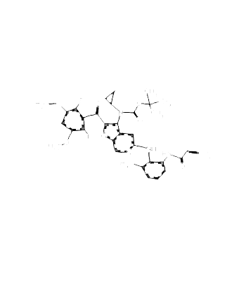 C=CC(=O)Nc1cccc(C)c1Nc1cc2c(N(C(=O)OC(C)(C)C)C3CC3)c(C(=O)c3c(F)c(OC)cc(OC)c3F)oc2cn1